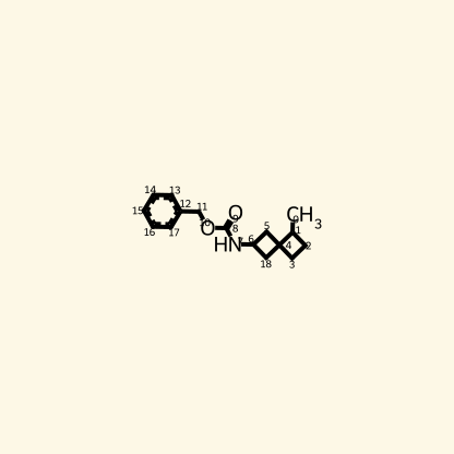 CC1CCC12CC(NC(=O)OCc1ccccc1)C2